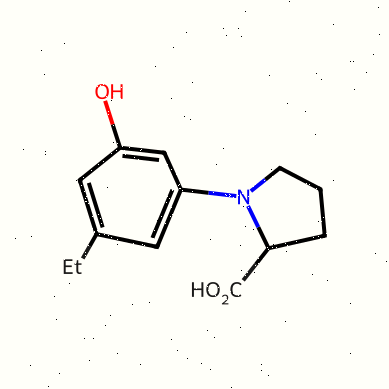 CCc1cc(O)cc(N2CCCC2C(=O)O)c1